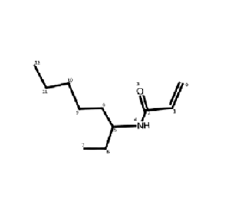 C=CC(=O)NC(CC)CCCCC